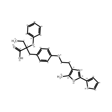 CCC(Cc1ccc(OCCc2nc(-c3cccs3)oc2C)cc1)(Oc1ccccc1)C(=O)O